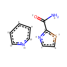 NC(=O)c1nccs1.c1ccncc1